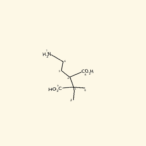 CC(C)(C(=O)O)C(CCN)C(=O)O